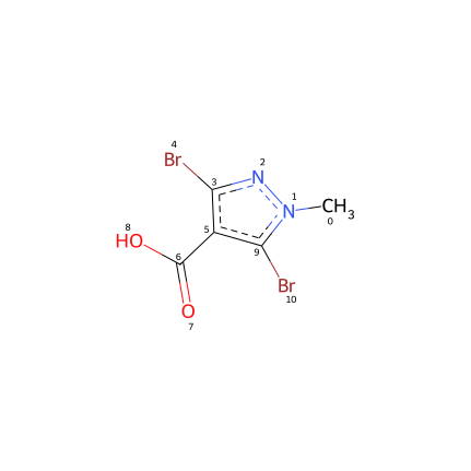 Cn1nc(Br)c(C(=O)O)c1Br